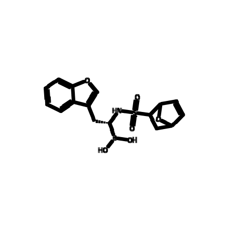 O=S(=O)(N[C@@H](Cc1coc2ccccc12)B(O)O)C1CC2C=CC1O2